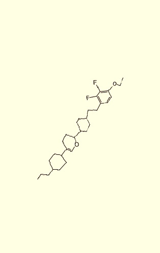 CCCC1CCC(C2=COC(C3CCC(CCc4ccc(OCC)c(F)c4F)CC3)CC2)CC1